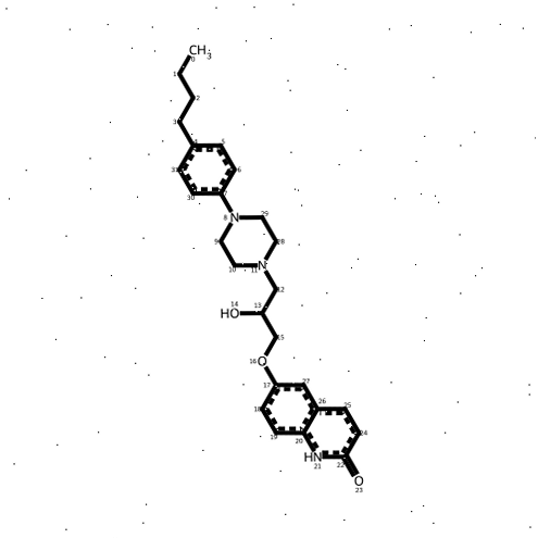 CCCCc1ccc(N2CCN(CC(O)COc3ccc4[nH]c(=O)ccc4c3)CC2)cc1